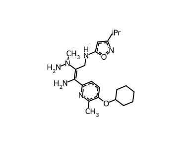 Cc1nc(/C(N)=C(\CNc2cc(C(C)C)no2)N(C)N)ccc1OC1CCCCC1